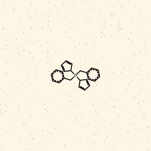 C1=C[CH]([Zr]([CH2]c2ccccc2)([CH2]c2ccccc2)[CH]2C=CC=C2)C=C1